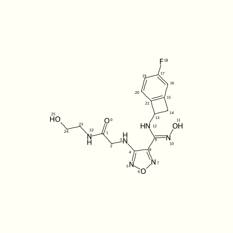 O=C(CNc1nonc1/C(=N/O)NC1Cc2cc(F)ccc21)NCCO